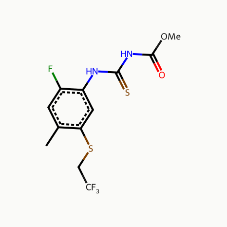 COC(=O)NC(=S)Nc1cc(SCC(F)(F)F)c(C)cc1F